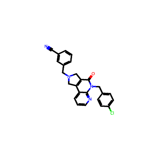 N#Cc1cccc(CN2Cc3c(c4cccnc4n(Cc4ccc(Cl)cc4)c3=O)C2)c1